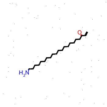 C=CC(=O)CCCCCCCCCCCCCCCCCCN